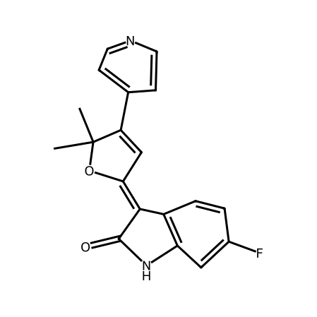 CC1(C)OC(=C2C(=O)Nc3cc(F)ccc32)C=C1c1ccncc1